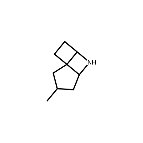 CC1CC2NC3CCC32C1